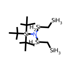 CC(C)(C)[Si](N([SiH2]C[SiH3])[SiH2]C[SiH3])(C(C)(C)C)C(C)(C)C